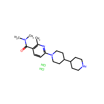 Cc1nc(N2CCC(C3CCNCC3)CC2)ccc1C(=O)N(C)C.Cl.Cl